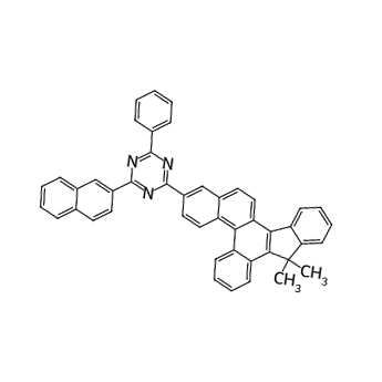 CC1(C)c2ccccc2-c2c1c1ccccc1c1c2ccc2cc(-c3nc(-c4ccccc4)nc(-c4ccc5ccccc5c4)n3)ccc21